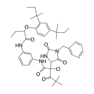 CCC(Oc1ccc(C(C)(C)CC)cc1C(C)(C)CC)C(=O)Nc1cccc(NC(=O)C(Cl)(C(=O)C(C)(C)C)C2NC(=O)N(Cc3ccccc3)C2=O)c1